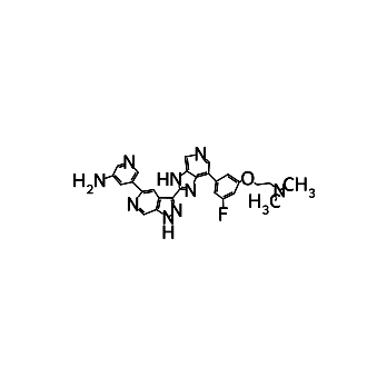 CN(C)CCOc1cc(F)cc(-c2cncc3[nH]c(-c4n[nH]c5cnc(-c6cncc(N)c6)cc45)nc23)c1